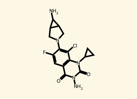 NC1C2CN(c3c(F)cc4c(=O)n(N)c(=O)n(C5CC5)c4c3Cl)CC12